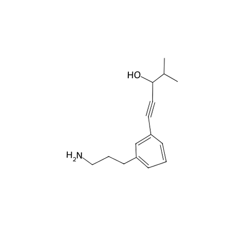 CC(C)C(O)C#Cc1cccc(CCCN)c1